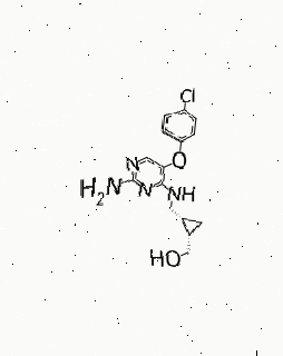 Nc1ncc(Oc2ccc(Cl)cc2)c(NC[C@@H]2C[C@@H]2CO)n1